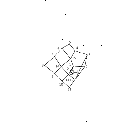 SC12C3C4C5CC6C7CC8C9CC43C91C78C562